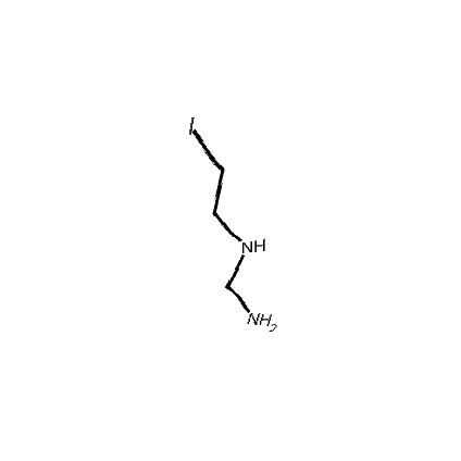 NCNCCI